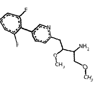 COCC(N)C(Cc1ccc(-c2c(F)cccc2F)cn1)OC